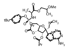 C=NC[C@@]1(c2ccc3c(N)ncnn23)O[C@H](COP(=O)(N[C@@H](C)C(=O)OCC(C)OC)Oc2ccc(C(C)(C)C)cc2)[C@@H](OC(=O)C(C)C)[C@H]1OC(=O)C(C)C